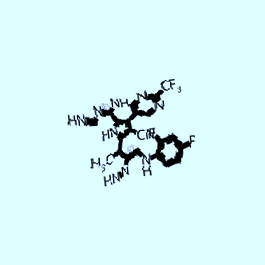 CC(/C(=C/Nc1ccc(F)cc1F)N=N)c1[nH]c(/C(N)=N\C=N)c(-c2cnc(C(F)(F)F)nc2)c1C#N